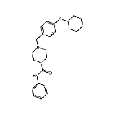 O=C(Nc1ccccc1)N1CCN(Cc2ccc(OC3CCCCC3)cc2)CC1